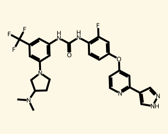 CN(C)C1CCN(c2cc(NC(=O)Nc3ccc(Oc4ccnc(-c5cn[nH]c5)c4)cc3F)cc(C(F)(F)F)c2)C1